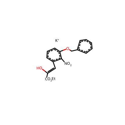 CCOC(=O)C(O)=Cc1cccc(OCc2ccccc2)c1[N+](=O)[O-].[K+]